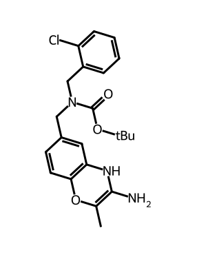 CC1=C(N)Nc2cc(CN(Cc3ccccc3Cl)C(=O)OC(C)(C)C)ccc2O1